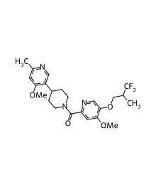 COc1cc(C(=O)N2CCC(c3cnc(C)cc3OC)CC2)ncc1OCC(C)C(F)(F)F